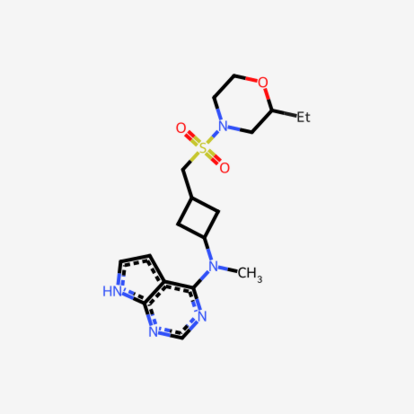 CCC1CN(S(=O)(=O)CC2CC(N(C)c3ncnc4[nH]ccc34)C2)CCO1